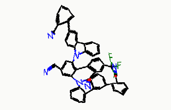 N#Cc1cc(-n2c3ccccc3c3cc(-c4ccccc4C#N)ccc32)c(-c2ccc(C(F)(F)F)cc2C#N)c(-n2c3ccccc3c3cc(-c4ccccc4C#N)ccc32)c1